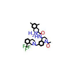 CC(=O)N1CCC(NC(=O)C(N)Cc2c(C)cc(C)cc2C)c2cc(CN3CCc4cccc(C(F)(F)F)c4C3)ccc21